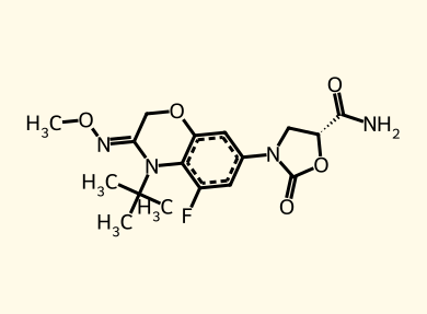 CON=C1COc2cc(N3C[C@H](C(N)=O)OC3=O)cc(F)c2N1C(C)(C)C